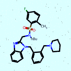 CCCCN(Cc1nc2ccccc2n1Cc1ccccc1CN1CCCCC1)S(=O)(=O)c1cc(F)ccc1C